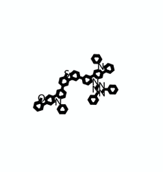 c1ccc(-c2nc(-c3ccccc3)nc(-n3c4ccc(-c5ccc6sc7ccc(-c8ccc9c(c8)c8cc%10oc%11ccccc%11c%10cc8n9-c8ccccc8)cc7c6c5)cc4c4cc5c(cc43)c3ccccc3n5-c3ccccc3)n2)cc1